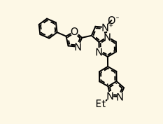 CCn1ncc2cc(-c3ccn4c(n3)c(-c3ncc(-c5ccccc5)o3)c[n+]4[O-])ccc21